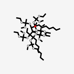 CCCCCCCC(OC(C)(OC)OCC)(OC(C)(OC)OCC)C(CC)(OC(C)(OC)OCC)C(=O)C(CC)(OC(C)(OC)OCC)C(CCCCCCC)(OC(C)(OC)OCC)OC(C)(OC)OCC